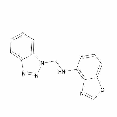 c1ccc2c(c1)nnn2CNc1cccc2ocnc12